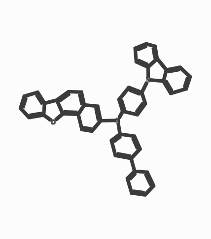 c1ccc(-c2ccc(N(c3ccc(-n4c5ccccc5c5ccccc54)cc3)c3ccc4c(ccc5c6ccccc6oc45)c3)cc2)cc1